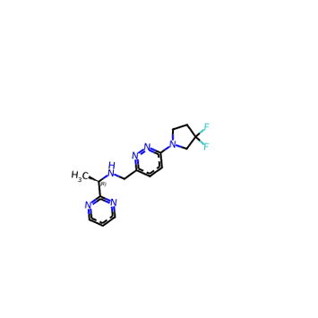 C[C@@H](NCc1ccc(N2CCC(F)(F)C2)nn1)c1ncccn1